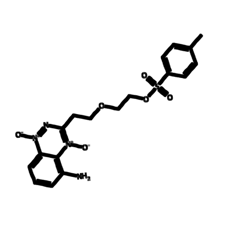 Cc1ccc(S(=O)(=O)OCCOCCc2n[n+]([O-])c3cccc(N)c3[n+]2[O-])cc1